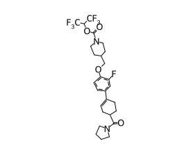 O=C(OC(C(F)(F)F)C(F)(F)F)N1CCC(COc2ccc(C3=CCC(C(=O)N4CCCC4)CC3)cc2F)CC1